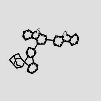 c1ccc2c(c1)-c1cc(-c3cc(-c4ccc5c(c4)oc4ccccc45)cc4sc5ccccc5c34)ccc1C21C2CC3CC(C2)CC1C3